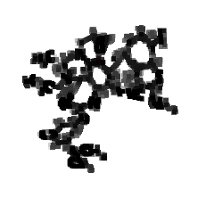 C[C@H](N1C=CN=CC1)N(C)c1nc(O[C@@H]2COC[C@H]2N(C)C)nc2c(F)c(-c3ccc(F)c4sc(N)c(C#N)c34)c(Cl)cc12